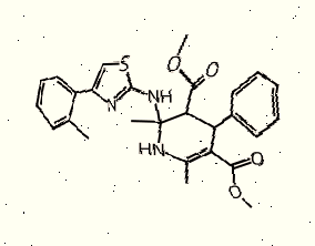 COC(=O)C1=C(C)NC(C)(Nc2nc(-c3ccccc3C)cs2)C(C(=O)OC)C1c1ccccc1